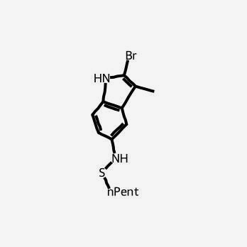 CCCCCSNc1ccc2[nH]c(Br)c(C)c2c1